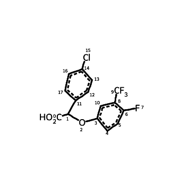 O=C(O)C(Oc1ccc(F)c(C(F)(F)F)c1)c1ccc(Cl)cc1